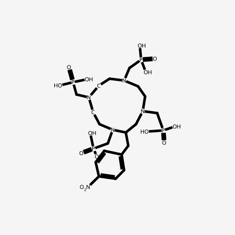 O=[N+]([O-])c1ccc(CC2CN(CP(=O)(O)O)CCN(CP(=O)(O)O)CCN(CP(=O)(O)O)CCN2CP(=O)(O)O)cc1